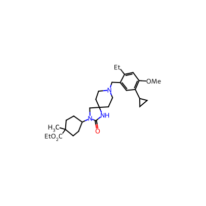 CCOC(=O)C1(C)CCC(N2CC3(CCN(Cc4cc(C5CC5)c(OC)cc4CC)CC3)NC2=O)CC1